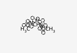 Cc1ccc(C)c(N(c2cc3c4cc5c6c(cccc6c4oc3c3ccccc23)-c2ccc(C)cc2N5c2cccc3c2oc2ccccc23)c2cccc3c2oc2ccccc23)c1